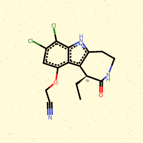 CC[C@@H]1C(=O)NCCc2[nH]c3c(Cl)c(Cl)cc(OCC#N)c3c21